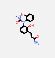 NC(=O)C=Cc1cccc(N(C(N)=O)c2ccccc2Br)c1O